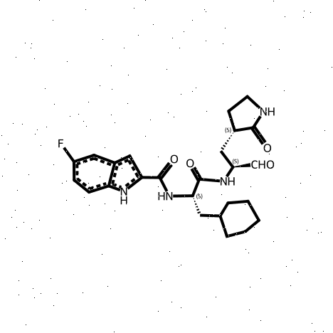 O=C[C@H](C[C@@H]1CCNC1=O)NC(=O)[C@H](CC1CCCCC1)NC(=O)c1cc2cc(F)ccc2[nH]1